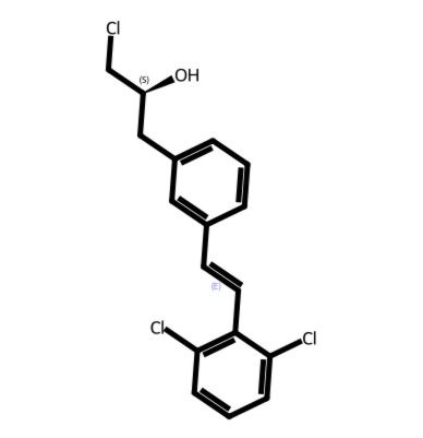 O[C@H](CCl)Cc1cccc(/C=C/c2c(Cl)cccc2Cl)c1